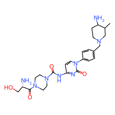 CC1CN(Cc2ccc(-n3ccc(NC(=O)N4CCN(C(=O)[C@@H](N)CO)CC4)nc3=O)cc2)CCC1N